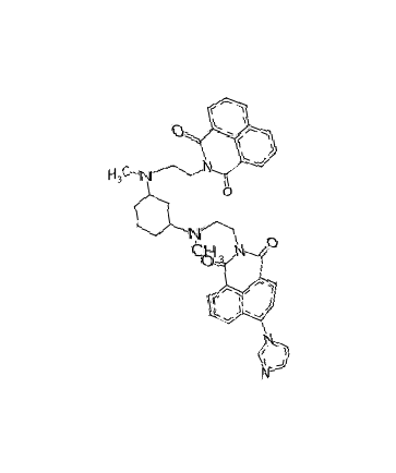 CN(CCN1C(=O)c2cccc3cccc(c23)C1=O)C1CCCC(N(C)CCN2C(=O)c3cccc4c(-n5ccnc5)ccc(c34)C2=O)C1